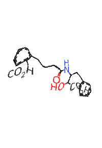 O=C(CCCc1ccccc1C(=O)O)NC(Cc1ccccc1)C(O)C(=O)O